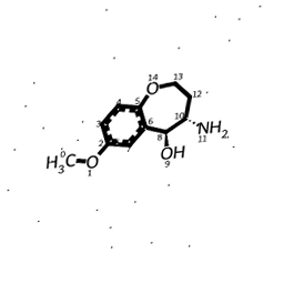 COc1ccc2c(c1)[C@H](O)[C@@H](N)CCO2